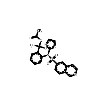 CC(C)(OC(=O)C(F)(F)F)c1ccccc1N(c1nccs1)S(=O)(=O)c1ccc2cnccc2c1